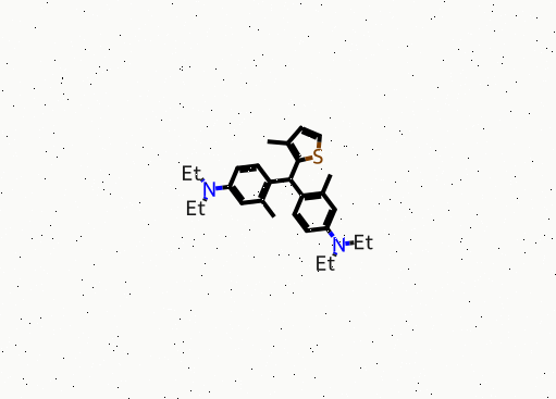 CCN(CC)c1ccc(C(c2ccc(N(CC)CC)cc2C)c2sccc2C)c(C)c1